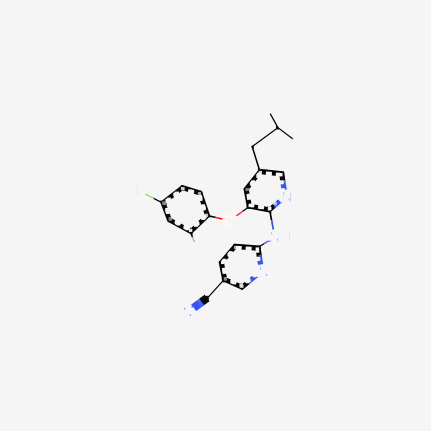 CC(C)Cc1cnc(Nc2ccc(C#N)cn2)c(Oc2ccc(F)cc2F)c1